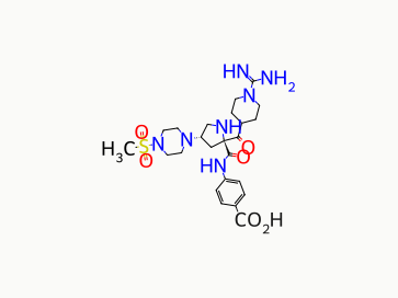 CS(=O)(=O)N1CCN([C@@H]2CN[C@](C(=O)Nc3ccc(C(=O)O)cc3)(C(=O)C3CCN(C(=N)N)CC3)C2)CC1